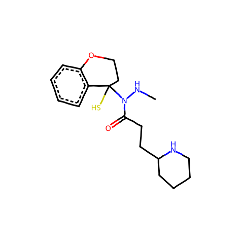 CNN(C(=O)CCC1CCCCN1)C1(S)CCOc2ccccc21